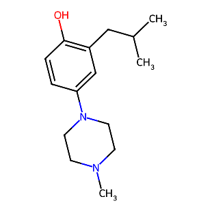 CC(C)Cc1cc(N2CCN(C)CC2)ccc1O